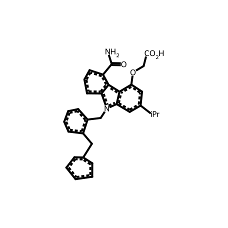 CC(C)c1cc(OCC(=O)O)c2c3c(C(N)=O)cccc3n(Cc3ccccc3Cc3ccccc3)c2c1